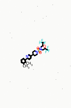 Cc1cccc(-c2ccc(C3CCN(S(=O)(=O)N4CC(C(F)(F)F)OC(C(F)(F)F)C4)CC3)cn2)c1C